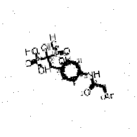 CC(=O)CC(=O)Nc1ccc(CC(O)(P(=O)(O)O)P(=O)(O)O)cc1